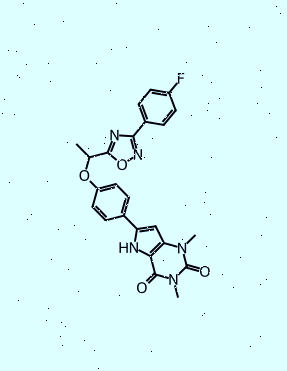 CC(Oc1ccc(-c2cc3c([nH]2)c(=O)n(C)c(=O)n3C)cc1)c1nc(-c2ccc(F)cc2)no1